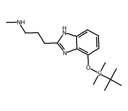 CNCCCc1nc2c(O[Si](C)(C)C(C)(C)C)cccc2[nH]1